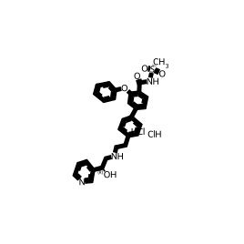 CS(=O)(=O)NC(=O)c1ccc(-c2ccc(CCNC[C@H](O)c3cccnc3)cc2)cc1Oc1ccccc1.Cl.Cl